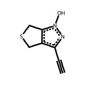 C#Cc1nn(O)c2c1CSC2